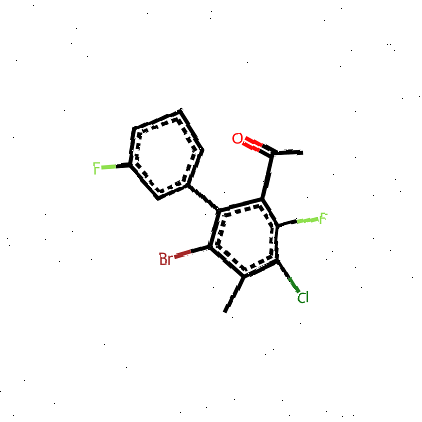 CC(=O)c1c(F)c(Cl)c(C)c(Br)c1-c1cccc(F)c1